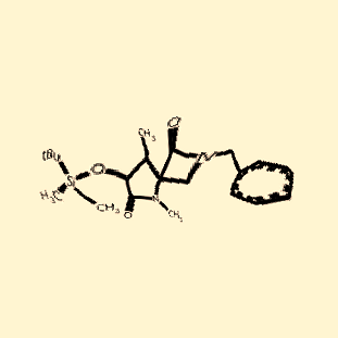 CC1C(O[Si](C)(C)C(C)(C)C)C(=O)N(C)C12CN(Cc1ccccc1)C2=O